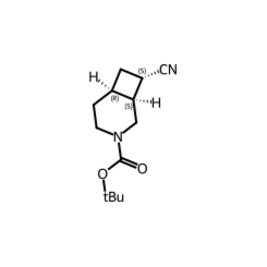 CC(C)(C)OC(=O)N1CC[C@H]2C[C@H](C#N)[C@H]2C1